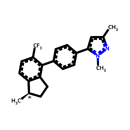 Cc1cc(-c2ccc(-c3c(C(F)(F)F)ccc4c3CC[C@H]4C)cc2)n(C)n1